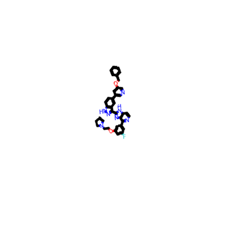 Fc1cc(OCCN2CCCC2)cc(-c2nccc3[nH]c(-c4n[nH]c5ccc(-c6cncc(OCc7ccccc7)c6)cc45)nc23)c1